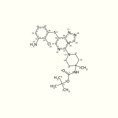 CC1(NC(=O)OC(C)(C)C)CCN(c2ncc(Sc3cccc(N)c3Cl)c3nncn23)CC1